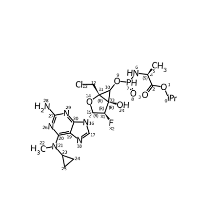 CC(C)OC(=O)[C@H](C)N[PH](=O)OC1[C@@]2(CCl)O[C@@H](n3cnc4c(N(C)C5CC5)nc(N)nc43)[C@H](F)[C@@]12O